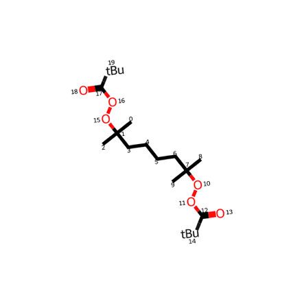 CC(C)(CCCCC(C)(C)OOC(=O)C(C)(C)C)OOC(=O)C(C)(C)C